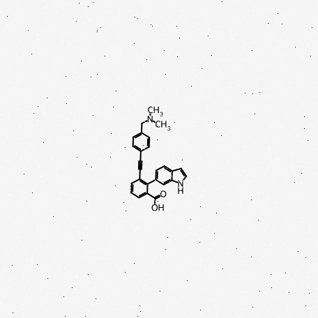 CN(C)Cc1ccc(C#Cc2cccc(C(=O)O)c2-c2ccc3cc[nH]c3c2)cc1